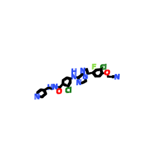 N#CCOc1ccc(-c2cnc3c(Nc4ccc(C(=O)NCCc5ccncc5)c(Cl)c4)nccn23)c(F)c1Cl